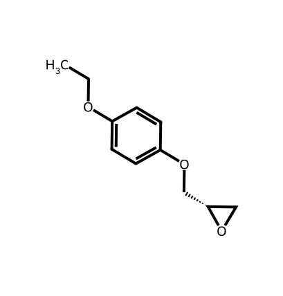 CCOc1ccc(OC[C@@H]2CO2)cc1